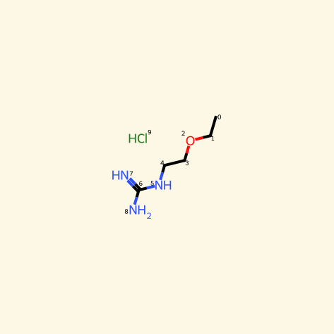 CCOCCNC(=N)N.Cl